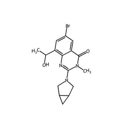 CC(O)c1cc(Br)cc2c(=O)n(C)c(N3CC4CC4C3)nc12